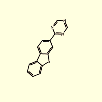 c1ccc2c(c1)sc1cc(-c3ncncn3)ccc12